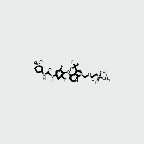 C[Si](C)(C)CCOCn1cc(C(F)(F)F)c2c(Oc3c(F)cc(NC(=O)NC4CCS(=O)(=O)C4)cc3F)ccnc21